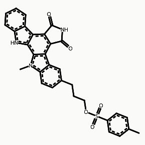 Cc1ccc(S(=O)(=O)OCCCc2ccc3c(c2)c2c4c(c5c6ccccc6[nH]c5c2n3C)C(=O)NC4=O)cc1